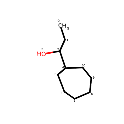 CCC(O)C1CCCCCC1